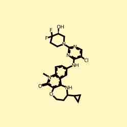 Cn1c(=O)c2c(c3cc(Nc4nc(N5CCC(F)(F)[C@@H](O)C5)ncc4Cl)ccc31)NC(C1CC1)CCO2